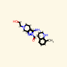 Cc1cccc2c1NCC[C@H]2C(=O)n1nc2c(c1N)CCN(CCO)C2